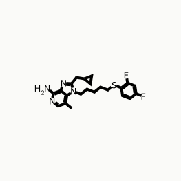 Cc1cnc(N)c2nc(CC3CC3)n(CCCCCSc3ccc(F)cc3F)c12